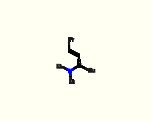 CCC(C)[SiH](C=CC(C)C)N(CC)CC